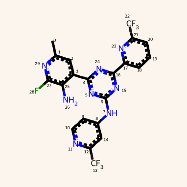 Cc1cc(-c2nc(Nc3ccnc(C(F)(F)F)c3)nc(-c3cccc(C(F)(F)F)n3)n2)c(N)c(F)n1